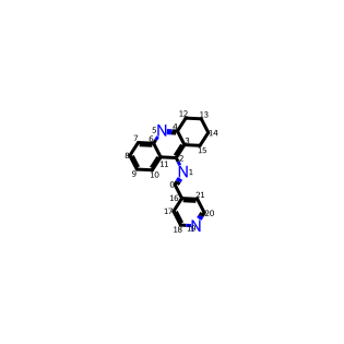 C(=N\c1c2c(nc3ccccc13)CCCC2)/c1ccncc1